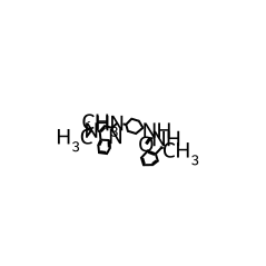 CC(NC(=O)NC1CCC(Nc2cc(N(C)C)c3ccccc3n2)CC1)c1ccccc1